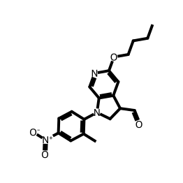 CCCCOc1cc2c(cn1)N(c1ccc([N+](=O)[O-])cc1C)CC2C=O